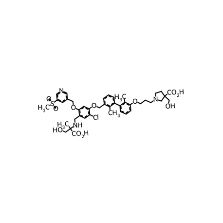 Cc1c(COc2cc(OCc3cncc(S(C)(=O)=O)c3)c(CNC(C)(CO)C(=O)O)cc2Cl)cccc1-c1cccc(OCCCN2CCC(CO)(C(=O)O)C2)c1C